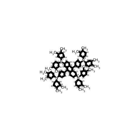 Cc1ccc(N(c2ccc(-c3c4ccc(N(c5ccc(C)c(C)c5)c5ccc(C)c(C)c5)cc4c(-c4ccc(N(c5ccc(C)c(C)c5)c5ccc(C)c(C)c5)cc4)c4ccc(N(c5ccc(C)c(C)c5)c5ccc(C)c(C)c5)cc34)cc2)c2ccc(C)c(C)c2)cc1C